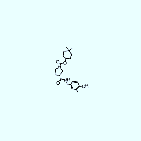 Cc1cc(CNC(=O)[C@@H]2CCN(C(=O)OC3CCC(C)(C)CC3)C2)ccc1O